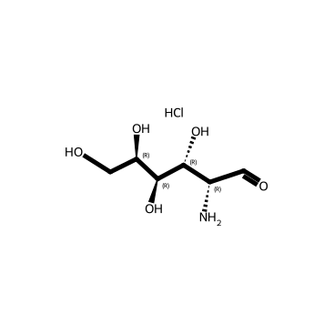 Cl.N[C@@H](C=O)[C@@H](O)[C@@H](O)[C@H](O)CO